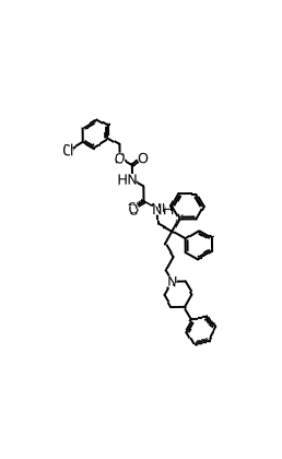 O=C(CNC(=O)OCc1cccc(Cl)c1)NCC(CCCN1CCC(c2ccccc2)CC1)(c1ccccc1)c1ccccc1